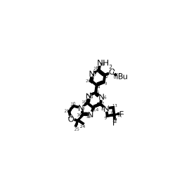 CCC(C)Oc1cc(-c2nc(N3CC(F)(F)C3)c3nc4n(c3n2)CCOC4(C)C)cnc1N